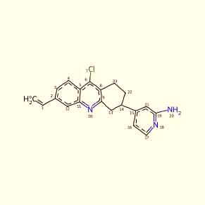 C=Cc1ccc2c(Cl)c3c(nc2c1)CC(c1ccnc(N)c1)CC3